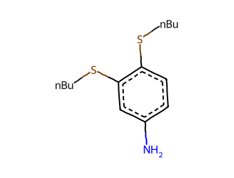 CCCCSc1ccc(N)cc1SCCCC